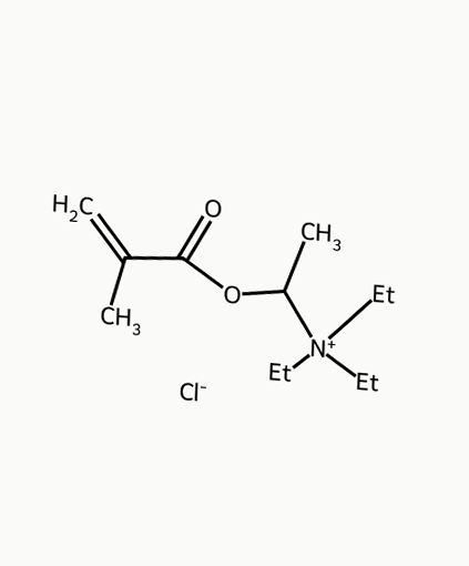 C=C(C)C(=O)OC(C)[N+](CC)(CC)CC.[Cl-]